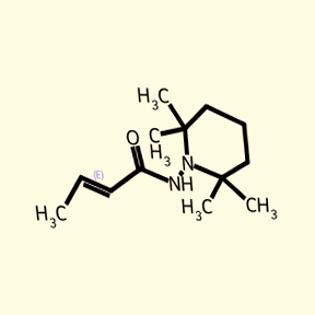 C/C=C/C(=O)NN1C(C)(C)CCCC1(C)C